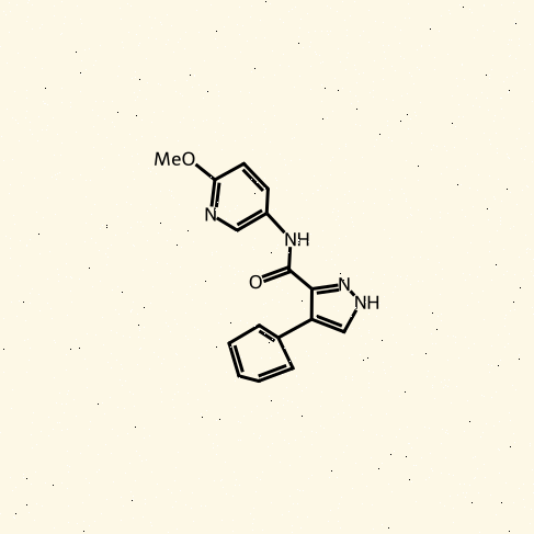 COc1ccc(NC(=O)c2n[nH]cc2-c2ccccc2)cn1